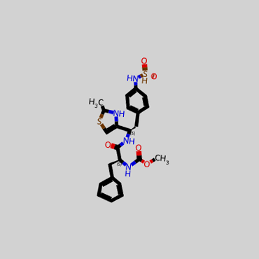 COC(=O)N[C@@H](Cc1ccccc1)C(=O)N[C@@H](Cc1ccc(N[SH](=O)=O)cc1)C1=CSC(C)N1